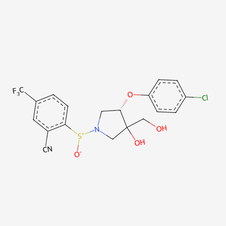 N#Cc1cc(C(F)(F)F)ccc1[S+]([O-])N1C[C@H](Oc2ccc(Cl)cc2)C(O)(CO)C1